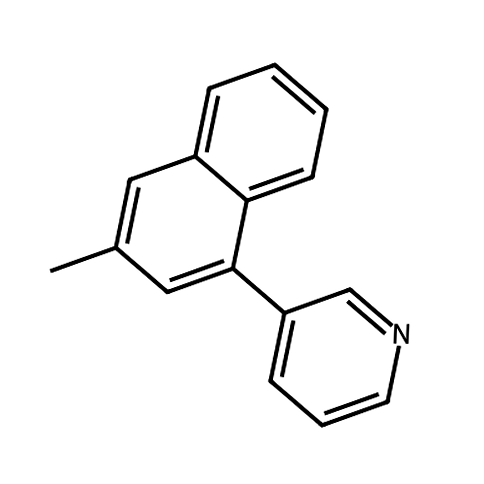 Cc1cc(-c2cccnc2)c2ccccc2c1